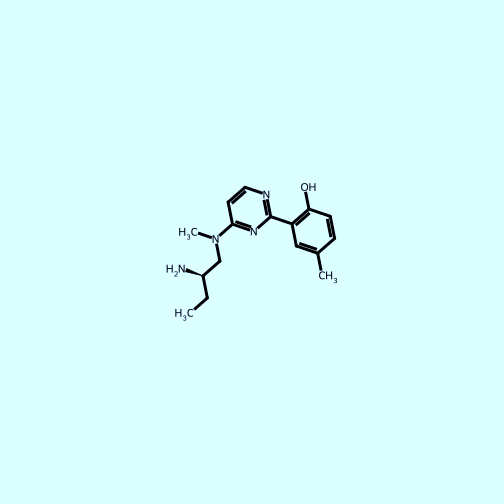 CC[C@@H](N)CN(C)c1ccnc(-c2cc(C)ccc2O)n1